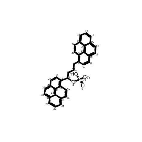 O=P(O)(O)OC(CCCc1ccc2ccc3cccc4ccc1c2c34)c1ccc2ccc3cccc4ccc1c2c34